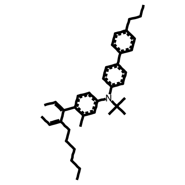 C/C=C(CCCCCC)\C(=C/C)c1ccc(N(c2ccc(-c3ccc(CCC)cc3)cc2)C(C)(C)C)cc1C